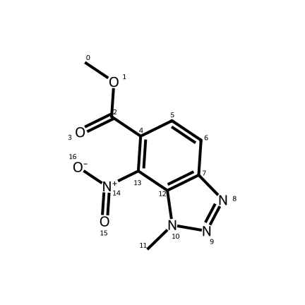 COC(=O)c1ccc2nnn(C)c2c1[N+](=O)[O-]